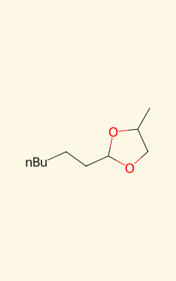 CCCCCCC1OCC(C)O1